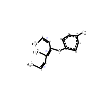 C\C=C/C(C)=C(/C=C\C)Oc1ccc(CC)cc1